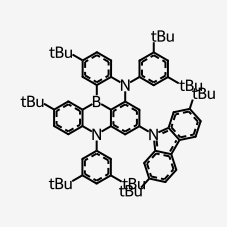 CC(C)(C)c1cc(N2c3ccc(C(C)(C)C)cc3B3c4cc(C(C)(C)C)ccc4N(c4cc(C(C)(C)C)cc(C(C)(C)C)c4)c4cc(-n5c6cc(C(C)(C)C)ccc6c6ccc(C(C)(C)C)cc65)cc2c43)cc(C(C)(C)C)c1